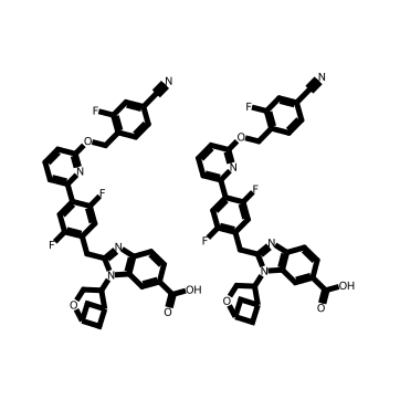 N#Cc1ccc(COc2cccc(-c3cc(F)c(Cc4nc5ccc(C(=O)O)cc5n4C4COC5CC4C5)cc3F)n2)c(F)c1.N#Cc1ccc(COc2cccc(-c3cc(F)c(Cc4nc5ccc(C(=O)O)cc5n4C4COC5CC4C5)cc3F)n2)c(F)c1